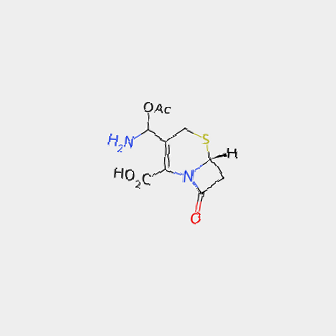 CC(=O)OC(N)C1=C(C(=O)O)N2C(=O)C[C@H]2SC1